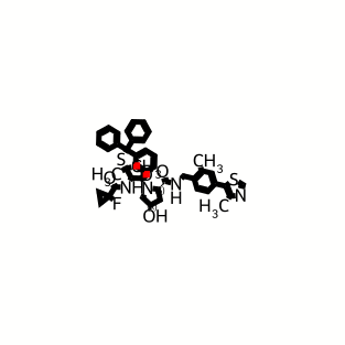 Cc1cc(-c2scnc2C)ccc1CNC(=O)[C@@H]1C[C@@H](O)CN1C(=O)C(NC(=O)C1(F)CC1)C(C)(C)SC(c1ccccc1)(c1ccccc1)c1ccccc1